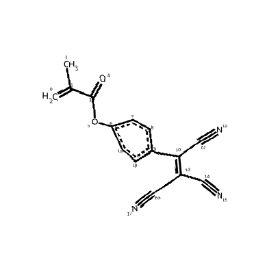 C=C(C)C(=O)Oc1ccc(C(C#N)=C(C#N)C#N)cc1